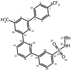 Cc1cc(-c2ccc(C(F)(F)F)cc2)nc(-c2cccc(-c3cccc(S(=O)(=O)NC(C)(C)C)c3)n2)c1